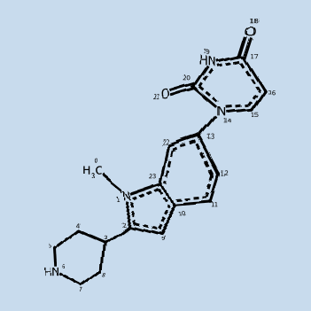 Cn1c(C2CCNCC2)cc2ccc(-n3ccc(=O)[nH]c3=O)cc21